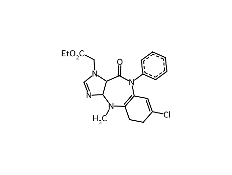 CCOC(=O)CN1C=NC2C1C(=O)N(c1ccccc1)C1=C(CCC(Cl)=C1)N2C